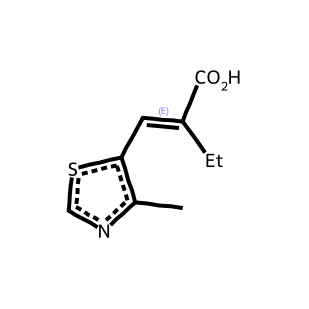 CC/C(=C\c1scnc1C)C(=O)O